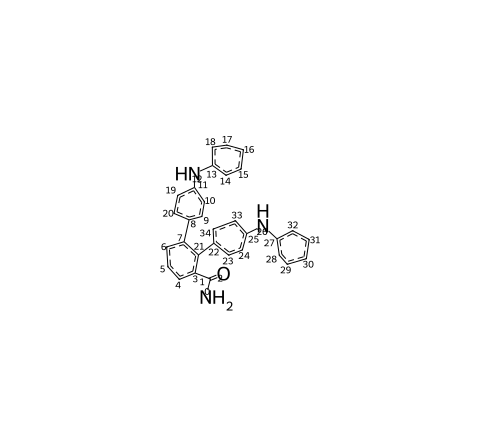 NC(=O)c1cccc(-c2ccc(Nc3ccccc3)cc2)c1-c1ccc(Nc2ccccc2)cc1